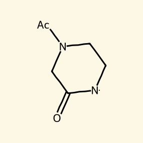 CC(=O)N1CC[N]C(=O)C1